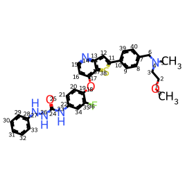 COCCN(C)Cc1ccc(-c2cc3nccc(Oc4ccc(NC(=O)NNc5ccccc5)cc4F)c3s2)cc1